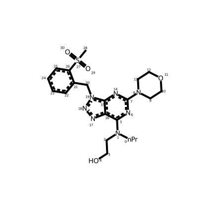 CCCN(CCO)c1nc(N2CCOCC2)nc2c1nnn2Cc1ccccc1S(C)(=O)=O